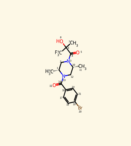 C[C@@H]1CN(C(=O)C(C)(O)C(F)(F)F)[C@H](C)CN1C(=O)c1ccc(Br)cc1